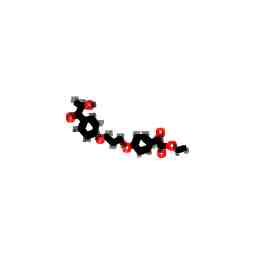 CCOC(=O)C(=O)c1ccc(OCCCOc2ccc(C(=O)C(C)=O)cc2)cc1